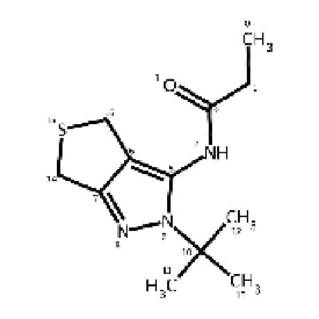 CCC(=O)Nc1c2c(nn1C(C)(C)C)CSC2